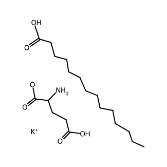 CCCCCCCCCCCCCC(=O)O.NC(CCC(=O)O)C(=O)[O-].[K+]